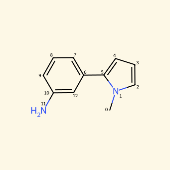 Cn1cccc1-c1cccc(N)c1